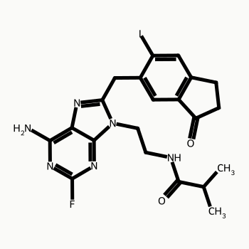 CC(C)C(=O)NCCn1c(Cc2cc3c(cc2I)CCC3=O)nc2c(N)nc(F)nc21